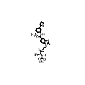 Cc1nc2cc(C(=O)Nc3cc(-c4cccs4)ccc3N)ccc2n1CCOC(=O)[C@@H](NC(=O)OC(C)(C)C)C(C)C